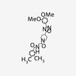 COc1ccc(-c2noc(C3CCN(C(=O)CNC(=O)c4ccc(C)c(C)c4)CC3)n2)cc1OC